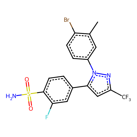 Cc1cc(-n2nc(C(F)(F)F)cc2-c2ccc(S(N)(=O)=O)c(F)c2)ccc1Br